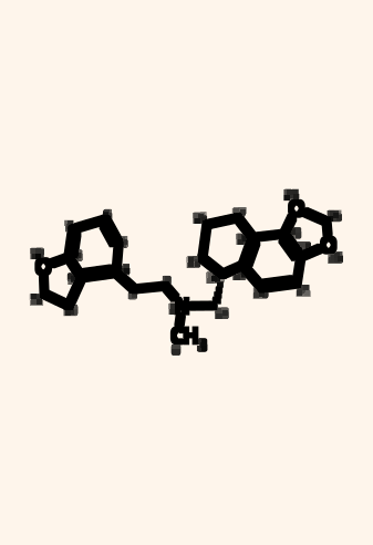 CN(CCc1cccc2c1CCO2)C[C@@H]1CCCc2c1ccc1c2OCO1